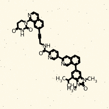 CC(C)c1cc(-c2cccc3cc(-c4ccc(C(=O)NCC#Cc5ccc6ccnc(N7CCC(=O)NC7=O)c6c5)nc4)ncc23)cc2c1n(C)c(=O)n2C